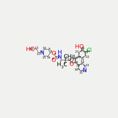 CC(C)(CNC(=O)OC1CCN(CCO)CC1)c1cc(-c2ccc(Cl)c(O)c2)c(-c2ccncc2)o1